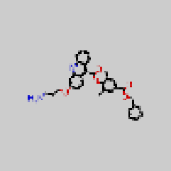 Cc1cc(C(=O)OCc2ccccc2)cc(C)c1OC(=O)c1c2ccccc2nc2cc(OCCCN)ccc12